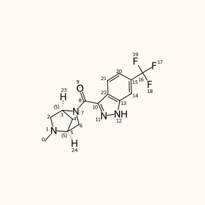 CN1C[C@@H]2C[C@H]1CN2C(=O)c1n[nH]c2cc(C(F)(F)F)ccc12